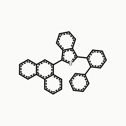 c1ccc(-c2ccccc2-c2oc(-c3cc4ccccc4c4ccccc34)c3ccccc23)cc1